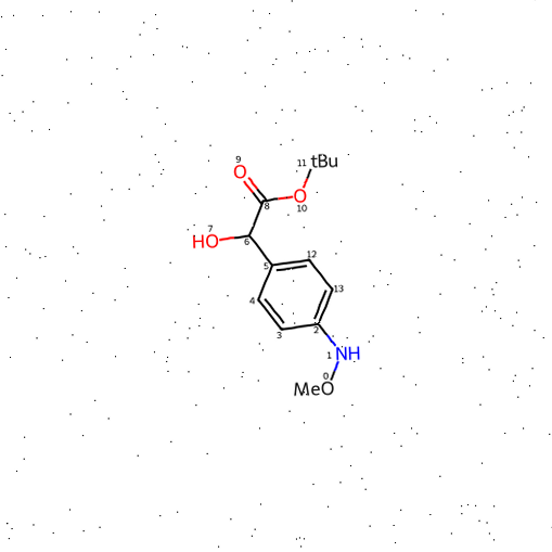 CONc1ccc(C(O)C(=O)OC(C)(C)C)cc1